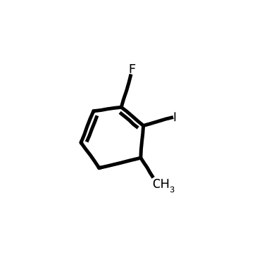 CC1CC=CC(F)=C1I